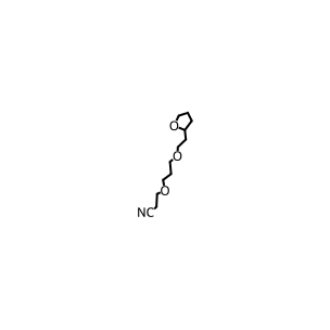 N#CCCOCCCOCCC1CCCO1